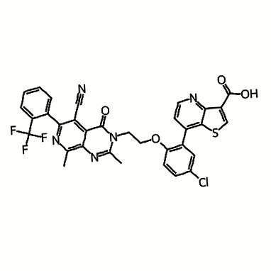 Cc1nc(-c2ccccc2C(F)(F)F)c(C#N)c2c(=O)n(CCOc3ccc(Cl)cc3-c3ccnc4c(C(=O)O)csc34)c(C)nc12